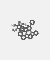 Bc1c(B)c(B)c(-c2cccc(-n3c4ccccc4c4ccc5c6ccccc6n(-c6nc(-c7ccccc7)nc(-c7ccccc7)n6)c5c43)c2-c2ccccc2)c(B)c1B